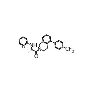 C[C@H](Nc1ccccn1)C(=O)N1CCc2c(cccc2-c2ccc(C(F)(F)F)cc2)C1